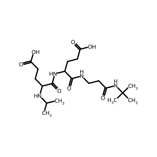 CC(C)NC(CCC(=O)O)C(=O)NC(CCC(=O)O)C(=O)NCCC(=O)NC(C)(C)C